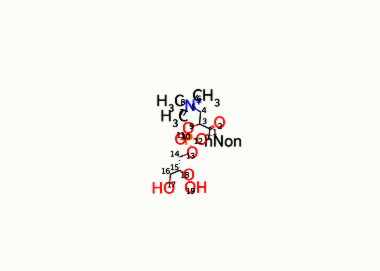 CCCCCCCCCC(=O)C(C[N+](C)(C)C)OP(=O)([O-])OC[C@@H](CO)OO